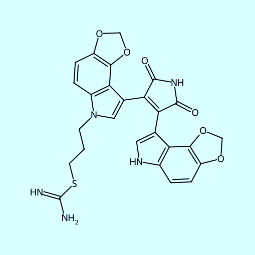 N=C(N)SCCCn1cc(C2=C(c3c[nH]c4ccc5c(c34)OCO5)C(=O)NC2=O)c2c3c(ccc21)OCO3